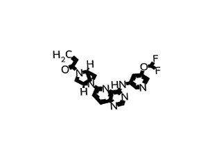 C=CC(=O)N1C[C@@H]2C[C@H]1CN2c1ccc2ncnc(Nc3cncc(OC(F)F)c3)c2n1